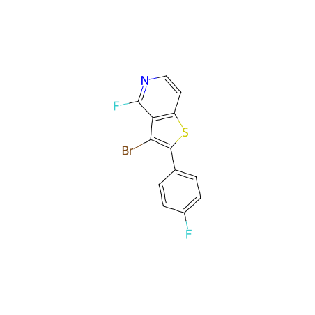 Fc1ccc(-c2sc3ccnc(F)c3c2Br)cc1